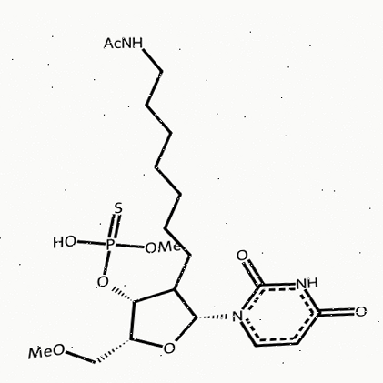 COC[C@H]1O[C@@H](n2ccc(=O)[nH]c2=O)C(CCCCCCCNC(C)=O)[C@H]1OP(O)(=S)OC